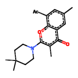 CC(=O)c1cc(C)cc2c(=O)c(C)c(N3CCC(C)(C)CC3)oc12